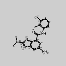 Cc1c(Cl)cccc1NC(=O)c1cc(N)cc2[nH]c(N(C)C)nc12